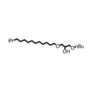 CCCCOCC(O)COCCCCCCCCCCCC(C)C